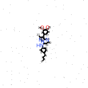 CCCCc1ccc(Nc2cc(C)nc3c(-c4ccc(OC)c(OC)c4)c(C)nn23)cc1